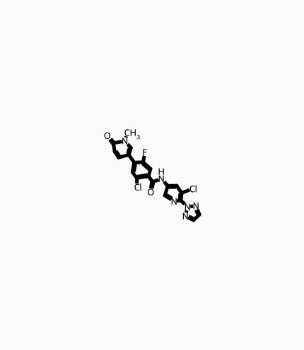 Cn1cc(-c2cc(Cl)c(C(=O)Nc3cnc(-n4nccn4)c(Cl)c3)cc2F)ccc1=O